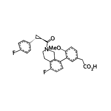 COc1ccc(CC(=O)O)cc1-c1ccc(F)c2c1CN(C(=O)[C@@H]1C[C@H]1c1ccc(F)cc1)CC2